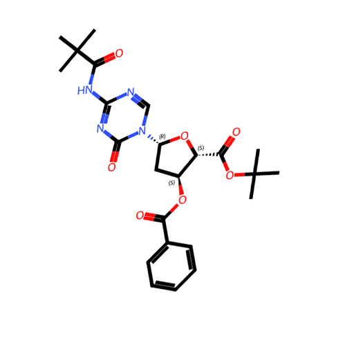 CC(C)(C)OC(=O)[C@H]1O[C@@H](n2cnc(NC(=O)C(C)(C)C)nc2=O)C[C@@H]1OC(=O)c1ccccc1